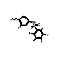 COc1ccc(NS(=O)(=O)c2c(F)c(F)c(F)c(Br)c2F)cc1F